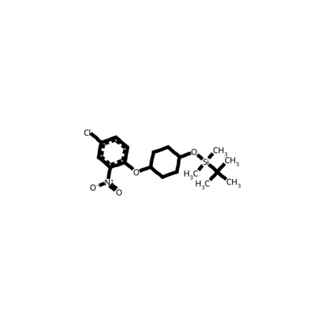 CC(C)(C)[Si](C)(C)OC1CCC(Oc2ccc(Cl)cc2[N+](=O)[O-])CC1